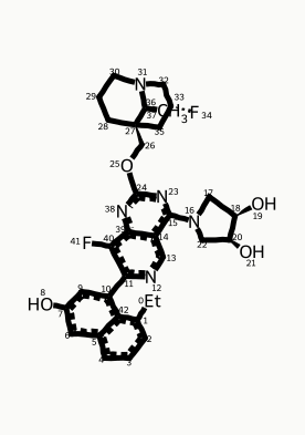 CCc1cccc2cc(O)cc(-c3ncc4c(N5C[C@@H](O)[C@@H](O)C5)nc(OC[C@]56CCCN(C[C@H](F)C5)C6C)nc4c3F)c12